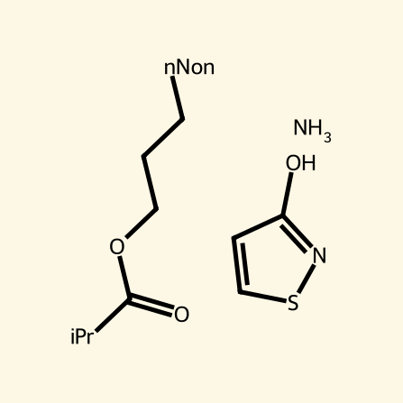 CCCCCCCCCCCCOC(=O)C(C)C.N.Oc1ccsn1